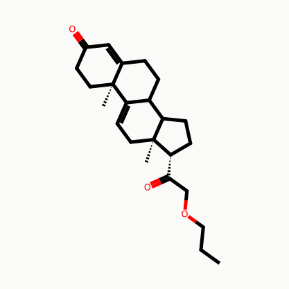 CCCOCC(=O)[C@H]1CCC2C3CCC4=CC(=O)CC[C@]4(C)C3=CC[C@@]21C